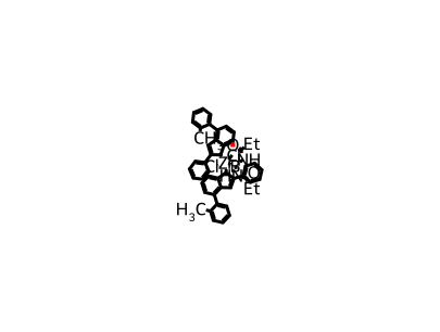 CCC(=O)N[B](NC(=O)CC)[Zr]([Cl])([Cl])([CH]1C(c2ccccc2)=Cc2c(-c3ccccc3C)cccc21)[CH]1C(c2ccccc2)=Cc2c(-c3ccccc3C)cccc21